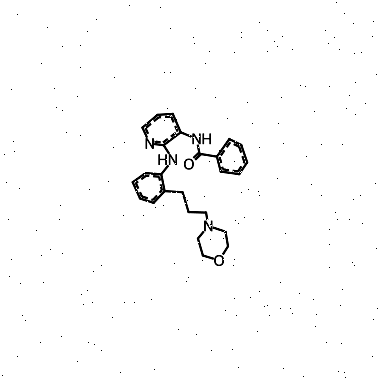 O=C(Nc1cccnc1Nc1ccccc1CCCN1CCOCC1)c1ccccc1